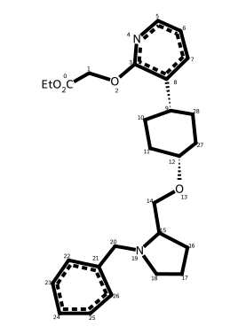 CCOC(=O)COc1ncccc1[C@H]1CC[C@@H](OCC2CCCN2Cc2ccccc2)CC1